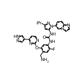 CC(C)c1cc(NC(=O)Nc2cc(Oc3nccc(-c4cn[nH]c4)n3)c(CN)cc2F)n(-c2ccc3nccn3c2)n1